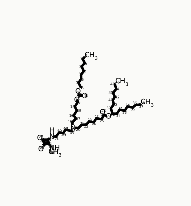 CCCCCCCCCOC(=O)OCCCCCCN(CCCCCCCC(=O)OC(CCCCCCCC)CCCCCCCC)CCCCCNc1c(NC)c(=O)c1=O